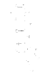 O=C(Nc1n[nH]c2cc(Br)ccc12)Oc1ccccc1